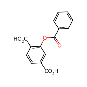 O=C(O)c1ccc(C(=O)O)c(OC(=O)c2ccccc2)c1